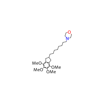 COc1c2c(c(OC)c(OC)c1OC)CC(CCCCCCCCN1CCOCC1)C2